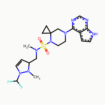 CN1C(CN(C)S(=O)(=O)N2CCN(c3ncnc4[nH]ccc34)CC23CC3)C=CN1C(F)F